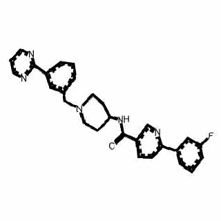 O=C(NC1CCN(Cc2cccc(-c3ncccn3)c2)CC1)c1ccc(-c2cccc(F)c2)nc1